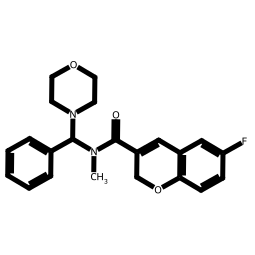 CN(C(=O)C1=Cc2cc(F)ccc2OC1)C(c1ccccc1)N1CCOCC1